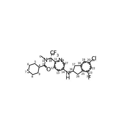 CN(C(=O)C1CCSCC1)[C@@H](c1ccc(NC2Cc3cc(Cl)cc(F)c3C2)cn1)C(F)(F)F